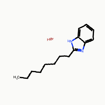 Br.CCCCCCCCc1nc2ccccc2[nH]1